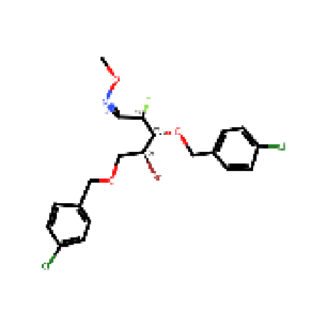 CO/N=C\[C@@H](F)[C@H](OCc1ccc(Cl)cc1)[C@@H](Br)COCc1ccc(Cl)cc1